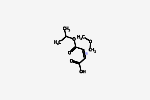 CC(C)OC(=O)/C=C\C(=O)O.COC